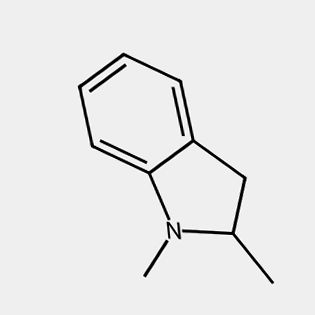 CC1Cc2ccccc2N1C